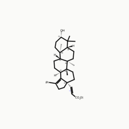 CCOC(=O)/C=C/[C@]12CCC(C(C)C)=C1[C@H]1CC[C@@H]3[C@@]4(C)CC[C@H](O)C(C)(C)[C@@H]4CC[C@@]3(C)[C@]1(C)CC2